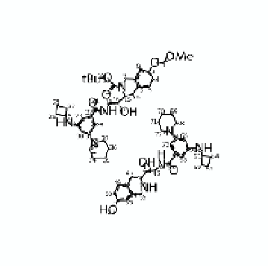 COCOc1ccc2c(c1)CN(C(=O)OC(C)(C)C)[C@H]([C@H](O)CNC(=O)c1cc(NC3CCC3)cc(N3CCCCC3)c1)C2.O=C(NC[C@@H](O)[C@@H]1Cc2ccc(O)cc2CN1)c1cc(NC2CCC2)cc(N2CCCCC2)c1